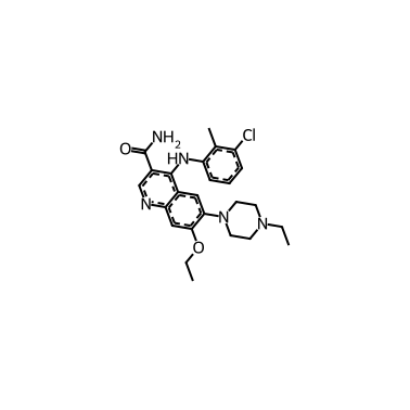 CCOc1cc2ncc(C(N)=O)c(Nc3cccc(Cl)c3C)c2cc1N1CCN(CC)CC1